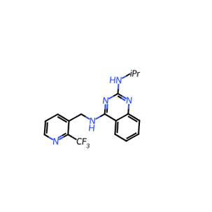 CC(C)Nc1nc(NCc2cccnc2C(F)(F)F)c2ccccc2n1